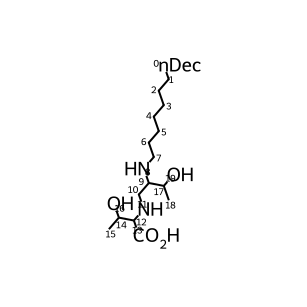 CCCCCCCCCCCCCCCCCNC(CNC(C(=O)O)C(C)O)C(C)O